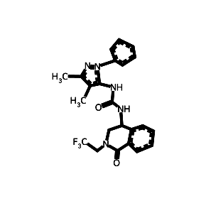 Cc1nn(-c2ccccc2)c(NC(=O)NC2CN(CC(F)(F)F)C(=O)c3ccccc32)c1C